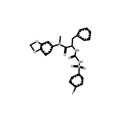 CN(C(=O)C(Cc1ccccc1)NC(=O)NS(=O)(=O)c1ccc(F)cc1)c1ccc2c(c1)OCO2